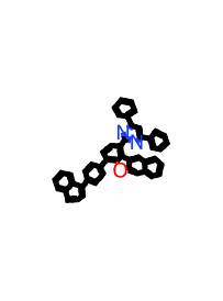 c1ccc(-c2cc(-c3ccccc3)nc(-c3ccc(-c4ccc(-c5cccc6ccccc56)cc4)c4oc5cc6ccccc6cc5c34)n2)cc1